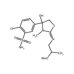 COC(C)CN=C1SCC(O)(c2ccc(Cl)c(S(N)(=O)=O)c2)N1C